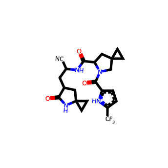 N#CC(CC1CC2(CC2)NC1=O)NC(=O)C1CC2(CC2)CN1C(=O)c1ccc(C(F)(F)F)[nH]1